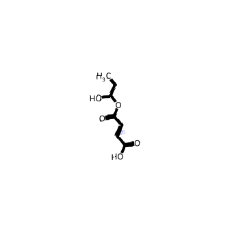 CCC(O)OC(=O)/C=C/C(=O)O